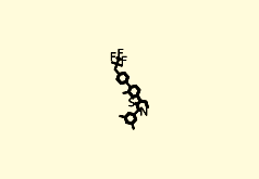 Cc1cc(C)cc(-c2nccc3c2sc2c(C)c(-c4ccc(CC(C)(C)C(F)(F)F)cc4)ccc23)c1